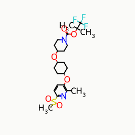 Cc1nc(S(C)(=O)=O)ccc1O[C@H]1CC[C@H](OC2CCN(C(=O)OC(C)(C)C(F)(F)F)CC2)CC1